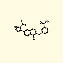 CNC(=O)c1cccc(Cn2ccc3cc(-c4cn[nH]c4C(F)F)ccc3c2=O)c1